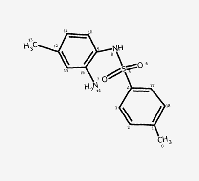 Cc1ccc(S(=O)(=O)Nc2ccc(C)cc2N)cc1